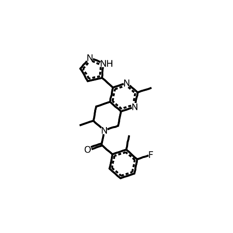 Cc1nc2c(c(-c3ccn[nH]3)n1)CC(C)N(C(=O)c1cccc(F)c1C)C2